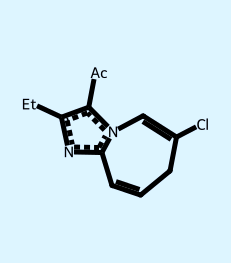 CCc1nc2n(c1C(C)=O)C=C(Cl)CC=C2